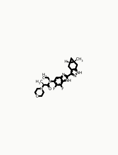 CCN(C(=O)[C@H](C)N1CCOCC1)c1cc2nc(-c3n[nH]c4c3C[C@@H]3C[C@]3(C)C4)[nH]c2c(F)c1F